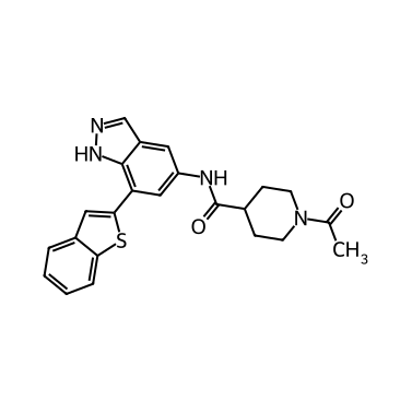 CC(=O)N1CCC(C(=O)Nc2cc(-c3cc4ccccc4s3)c3[nH]ncc3c2)CC1